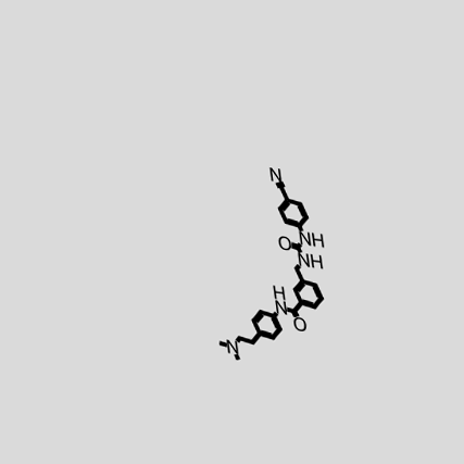 CN(C)CCc1ccc(NC(=O)c2cccc(CNC(=O)Nc3ccc(C#N)cc3)c2)cc1